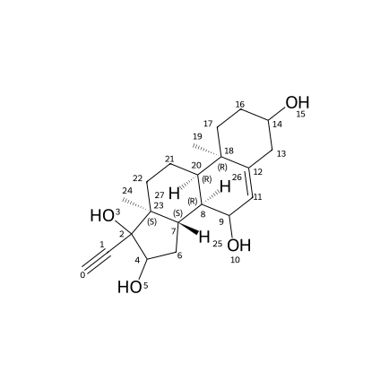 C#CC1(O)C(O)C[C@H]2[C@@H]3C(O)C=C4CC(O)CC[C@]4(C)[C@@H]3CC[C@@]21C